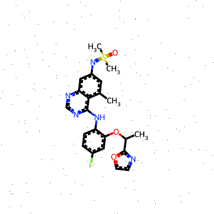 Cc1cc(N=S(C)(C)=O)cc2ncnc(Nc3ccc(F)cc3OC(C)c3ncco3)c12